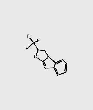 FC(F)(F)C1Cn2c(nc3ccccc32)O1